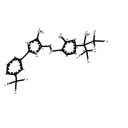 Cc1oc(-c2cccc(C(F)(F)F)c2)nc1COc1ccc(C(O)(C(F)(F)F)C(F)(F)F)cc1Cl